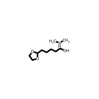 C[SiH](C)C(O)CCCCC1OCCO1